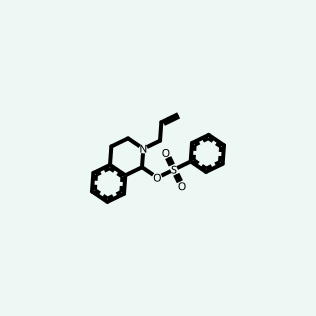 C=CCN1CCc2ccccc2C1OS(=O)(=O)c1ccccc1